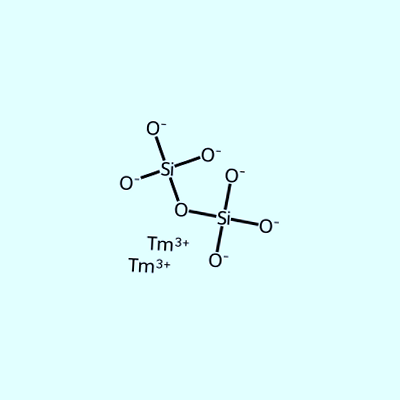 [O-][Si]([O-])([O-])O[Si]([O-])([O-])[O-].[Tm+3].[Tm+3]